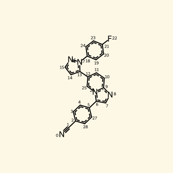 N#Cc1ccc(-c2cnc3ccc(-c4ccnn4-c4ccc(F)cc4)cn23)cc1